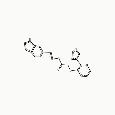 O=C(COc1cccnc1-c1ccoc1)N/N=C/c1ccc2cc[nH]c2c1